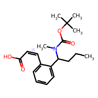 CCCC(c1ccccc1/C=C\C(=O)O)N(C)C(=O)OC(C)(C)C